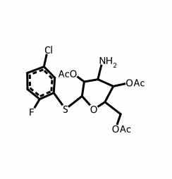 CC(=O)OCC1OC(Sc2cc(Cl)ccc2F)C(OC(C)=O)C(N)C1OC(C)=O